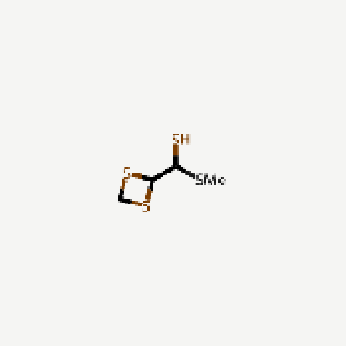 CSC(S)C1SCS1